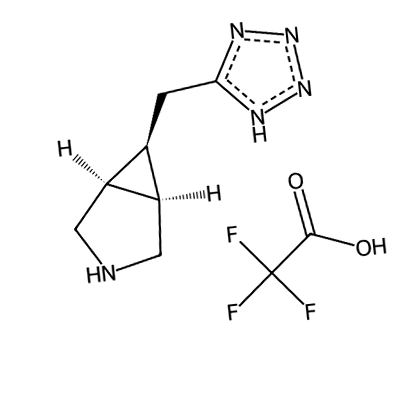 C1NC[C@H]2[C@@H]1[C@H]2Cc1nnn[nH]1.O=C(O)C(F)(F)F